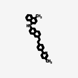 Cc1ccc(-c2ccc(CCc3ccc4cc(Nc5ccc(C)c6ccccc56)ccc4c3)cc2)nc1